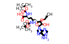 C#CCO[C@@H]1[C@@H](C[C@H](CC[C@H](NC(=O)OC(C)(C)C)C(=O)O)NC(=O)OC(C)(C)C)OC(n2cnc3c(N)ncnc32)[C@@H]1O